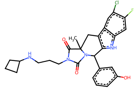 CC12Cc3c([nH]c4cc(F)c(Cl)cc34)C(c3cccc(O)c3)N1C(=O)N(CCCNC1CCC1)C2=O